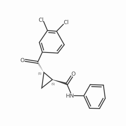 O=C(Nc1ccccc1)[C@H]1C[C@@H]1C(=O)c1ccc(Cl)c(Cl)c1